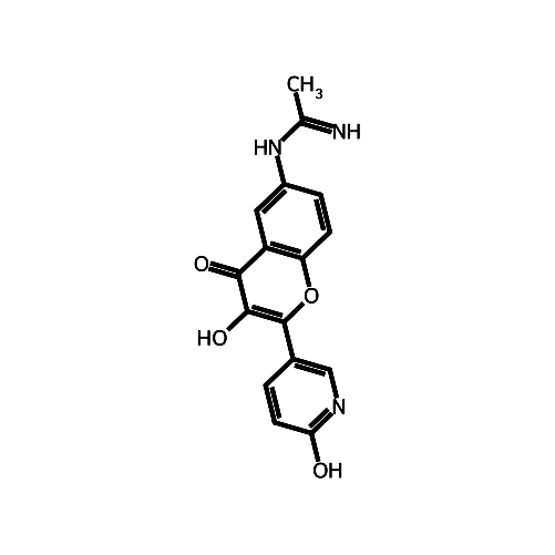 CC(=N)Nc1ccc2oc(-c3ccc(O)nc3)c(O)c(=O)c2c1